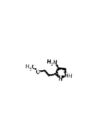 COCCc1n[nH]cc1N